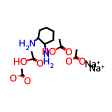 CC(=O)O.CC(=O)O.CC(=O)[O-].CC(=O)[O-].NC1CCCCC1N.[Na+].[Na+]